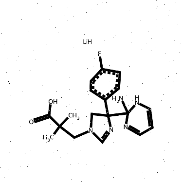 CC(C)(CN1C=NC(c2ccc(F)cc2)(C2(N)N=CC=CN2)C1)C(=O)O.[LiH]